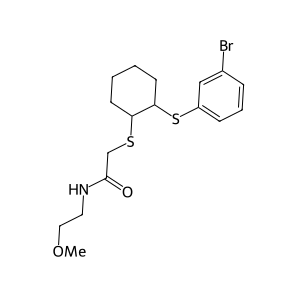 COCCNC(=O)CSC1CCCCC1Sc1cccc(Br)c1